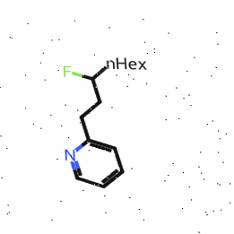 CCCCCCC(F)CCc1ccccn1